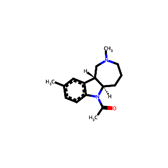 CC(=O)N1c2ccc(C)cc2[C@@H]2CN(C)CCC[C@H]21